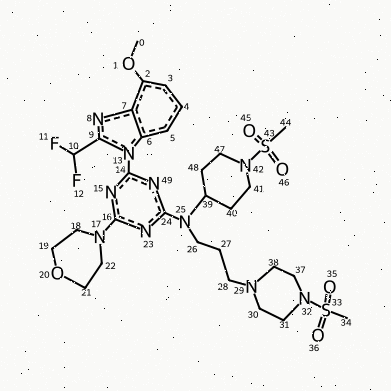 COc1cccc2c1nc(C(F)F)n2-c1nc(N2CCOCC2)nc(N(CCCN2CCN(S(C)(=O)=O)CC2)C2CCN(S(C)(=O)=O)CC2)n1